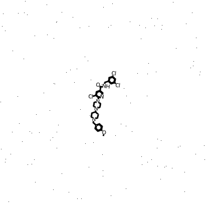 COc1ccc(CN2CCC(N3CCN(c4ncc(C(=O)NCc5cc(Cl)cc(Cl)c5)cc4Cl)CC3)CC2)cc1